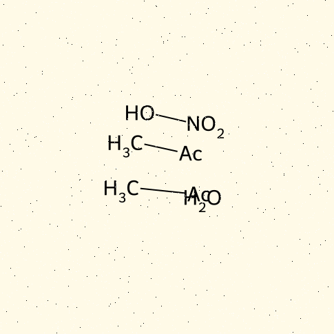 CC(C)=O.CC(C)=O.O.O=[N+]([O-])O